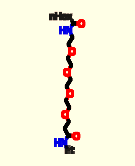 CCCCCCC(=O)NCCOCCOCCOCCOCCC(=O)NCC